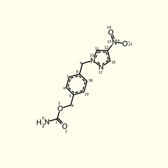 NC(=O)OCc1ccc(Cn2cc([N+](=O)[O-])cn2)cc1